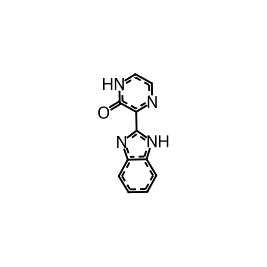 O=c1[nH]ccnc1-c1nc2ccccc2[nH]1